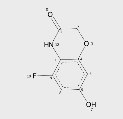 O=C1COc2cc(O)cc(F)c2N1